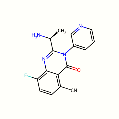 C[C@H](N)c1nc2c(F)ccc(C#N)c2c(=O)n1-c1cccnc1